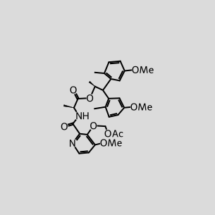 COc1ccc(C)c(C(c2cc(OC)ccc2C)[C@H](C)OC(=O)[C@H](C)NC(=O)c2nccc(OC)c2OCOC(C)=O)c1